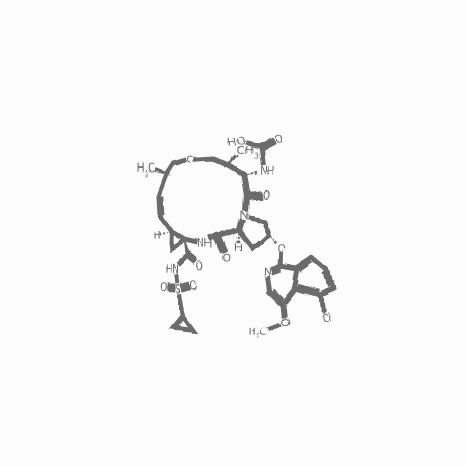 COc1cnc(O[C@@H]2C[C@H]3C(=O)N[C@]4(C(=O)NS(=O)(=O)C5CC5)C[C@H]4/C=C\[C@@H](C)CCC[C@@H](C)[C@H](NC(=O)O)C(=O)N3C2)c2cccc(Cl)c12